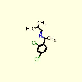 CC(C)C=NC(C)c1ccc(Cl)cc1Cl